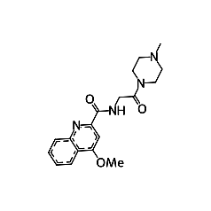 COc1cc(C(=O)NCC(=O)N2CCN(C)CC2)nc2ccccc12